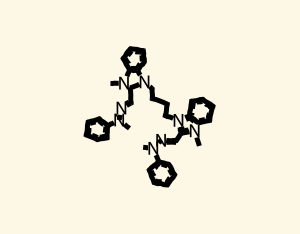 CN(/N=C/c1n(C)c2ccccc2[n+]1CCCCN1c2ccccc2N(C)C1/C=N/N(C)c1ccccc1)c1ccccc1